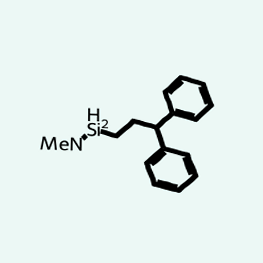 CN[SiH2]CCC(c1ccccc1)c1ccccc1